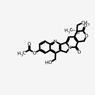 CC[C@@]1(C)C(=O)OCc2c1cc1n(c2=O)Cc2c-1nc1ccc(OC(C)=O)cc1c2CO